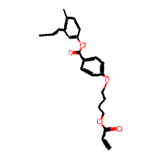 C=CC(=O)OCCCCOc1ccc(C(=O)Oc2ccc(C)c(CCC)c2)cc1